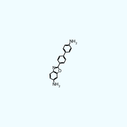 Nc1ccc(-c2ccc(-c3nc4ccc(N)cc4o3)cc2)cc1